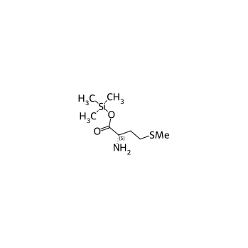 CSCC[C@H](N)C(=O)O[Si](C)(C)C